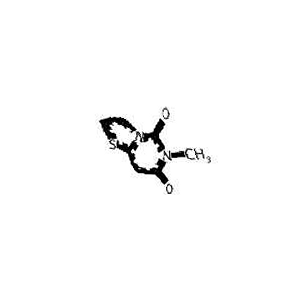 Cn1c(=O)cc2sccn2c1=O